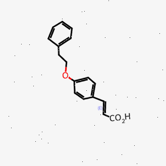 O=C(O)/C=C/c1ccc(OCCc2ccccc2)cc1